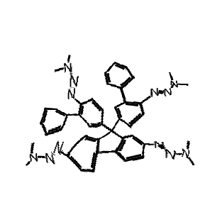 CN(C)N=Nc1ccc2c(c1)C(c1ccc(N=NN(C)C)c(-c3ccccc3)c1)(c1ccc(N=NN(C)C)c(-c3ccccc3)c1)c1cc(N=NN(C)C)ccc1-2